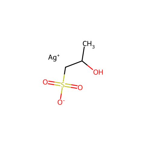 CC(O)CS(=O)(=O)[O-].[Ag+]